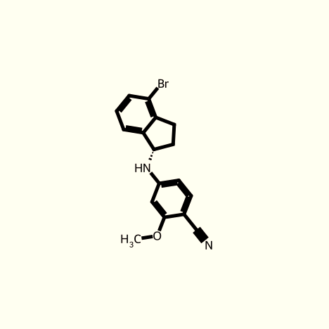 COC1=CC(N[C@H]2CCc3c(Br)cccc32)=C=C=C1C#N